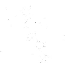 COCC1(C)CC(c2nc(-c3ccc(CN(C)C4(C(=O)O)CCCC4)cc3)no2)=CC=C1c1ccccc1